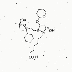 CC(C)(C)[Si](C)(C)O[C@@](C)(CC[C@H]1C(OC2CCCCO2)C[C@H](O)[C@@H]1CCCCCCC(=O)O)C1CCCCC1